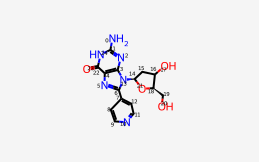 Nc1nc2c(nc(-c3ccncc3)n2[C@H]2CC(O)[C@@H](CO)O2)c(=O)[nH]1